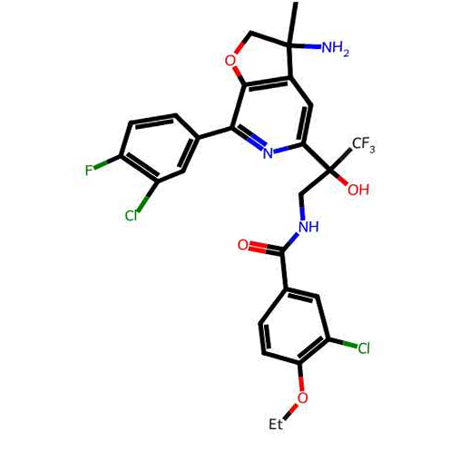 CCOc1ccc(C(=O)NCC(O)(c2cc3c(c(-c4ccc(F)c(Cl)c4)n2)OCC3(C)N)C(F)(F)F)cc1Cl